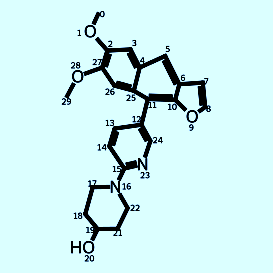 COc1cc2cc3ccoc3c(-c3ccc(N4CCC(O)CC4)nc3)c2cc1OC